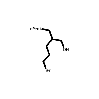 CCCCCCC(CO)CCCC(C)C